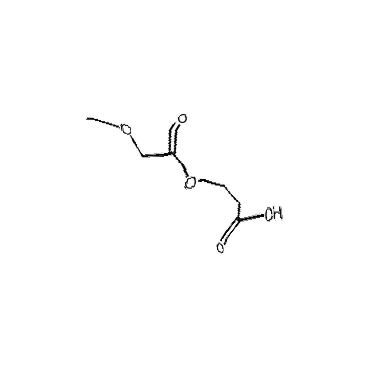 COCC(=O)OCC(=O)O